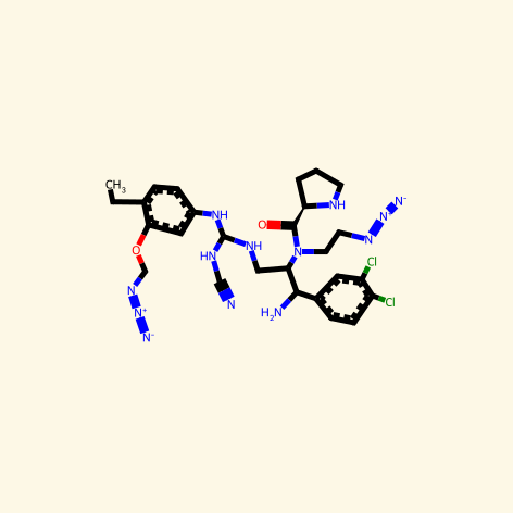 CCc1ccc(NC(NC#N)NCC(C(N)c2ccc(Cl)c(Cl)c2)N(CCN=[N+]=[N-])C(=O)[C@H]2CCCN2)cc1OCN=[N+]=[N-]